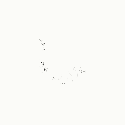 CNS(=O)(=O)c1cc2cc(OCC[N+]34CC[N+](CCCN=[N+]=[N-])(CC3)CC4)ccc2s1